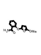 COc1ccc(Oc2ccccc2C(N)=O)o1